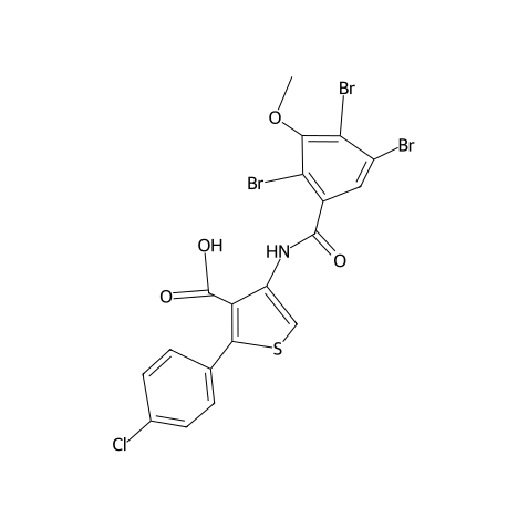 COc1c(Br)c(Br)cc(C(=O)Nc2csc(-c3ccc(Cl)cc3)c2C(=O)O)c1Br